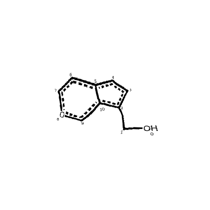 OCc1ccc2ccocc1-2